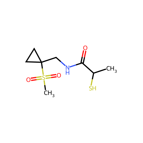 CC(S)C(=O)NCC1(S(C)(=O)=O)CC1